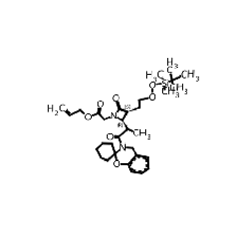 C=CCOC(=O)CN1C(=O)[C@@H](CCOO[Si](C)(C)C(C)(C)C)[C@H]1C(C)C(=O)N1Cc2ccccc2OC12CCCCC2